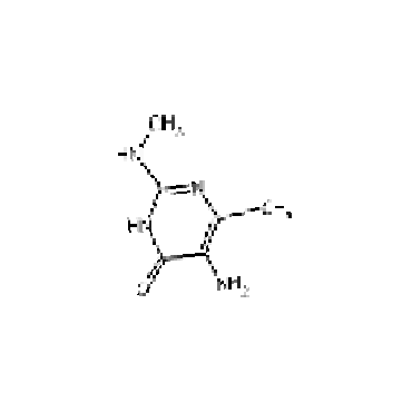 CNc1nc(C)c(N)c(=O)[nH]1